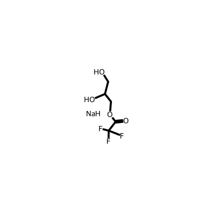 O=C(OCC(O)CO)C(F)(F)F.[NaH]